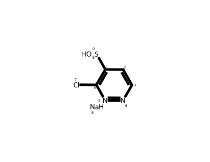 O=S(=O)(O)c1ccnnc1Cl.[NaH]